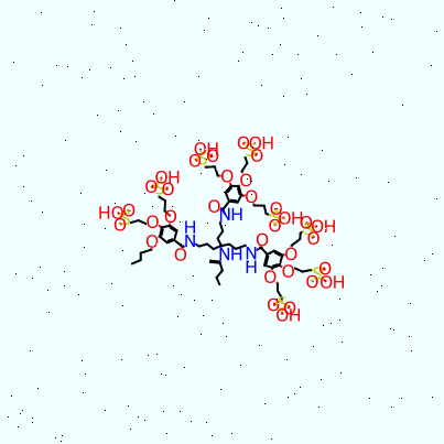 C=C(CCC)NC(CCCNC(=O)c1cc(OCCCC)c(OCCCS(=O)(=O)O)c(OCCCS(=O)(=O)O)c1)(CCCNC(=O)c1cc(OCCCS(=O)(=O)O)c(OCCCS(=O)(=O)O)c(OCCCS(=O)(=O)O)c1)CCCNC(=O)c1cc(OCCCS(=O)(=O)O)c(OCCCS(=O)(=O)O)c(OCCCS(=O)(=O)O)c1